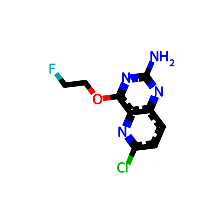 Nc1nc(OCCF)c2nc(Cl)ccc2n1